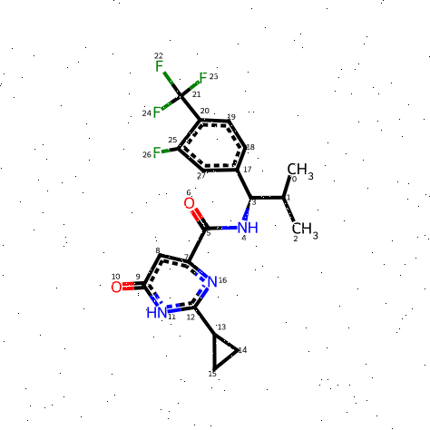 CC(C)[C@@H](NC(=O)c1cc(=O)[nH]c(C2CC2)n1)c1ccc(C(F)(F)F)c(F)c1